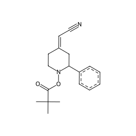 CC(C)(C)C(=O)ON1CCC(=CC#N)CC1c1ccccc1